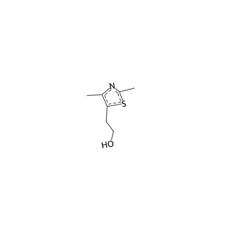 Cc1nc(C)c(CCO)s1